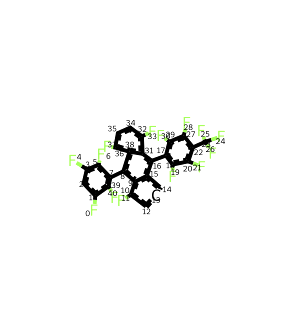 Fc1cc(F)c(F)c(-c2c3c(F)cccc3c(-c3c(F)c(F)c(C(F)(F)F)c(F)c3F)c3c(F)ccc(F)c23)c1F